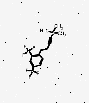 CS(C)(C)C#CCCc1ccc(C(F)(F)F)cc1C(F)(F)F